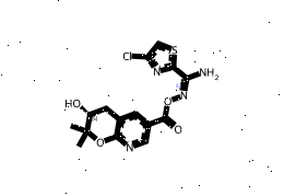 CC1(C)Oc2ncc(C(=O)O/N=C(/N)c3nc(Cl)cs3)cc2C[C@@H]1O